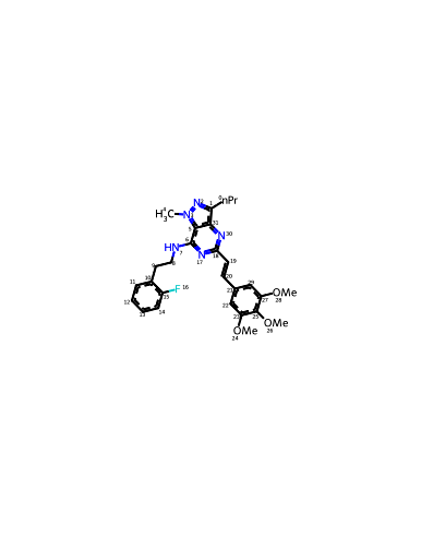 CCCc1nn(C)c2c(NCCc3ccccc3F)nc(/C=C/c3cc(OC)c(OC)c(OC)c3)nc12